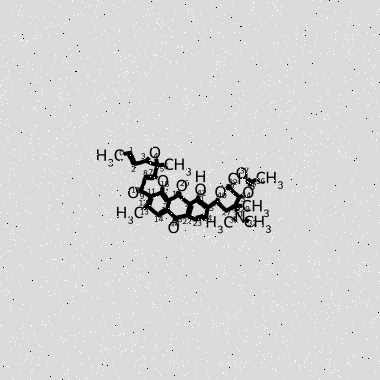 C/C=C/C1OC1(C)c1cc(=O)c2c(C)cc3c(c2o1)C(=O)c1c(ccc(C2CC(C)(N(C)C)C(OC(C)=O)C(C)O2)c1O)C3=O